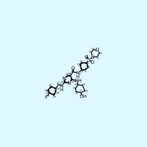 O=C(Nc1ccc(S(=O)(=O)N2CCOCC2)cc1)c1cnc(NCc2ccc(F)cc2)nc1NC1CCC(O)CC1